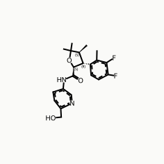 Cc1c([C@@H]2[C@@H](C(=O)Nc3ccc(CO)nc3)OC(C)(C)[C@H]2C)ccc(F)c1F